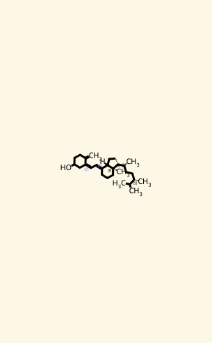 C=C1CCC(O)C/C1=C/C=C1\CCC[C@]2(C)[C@@H]([C@H](C)CC[C@H](C)C(C)C)CC[C@@H]12